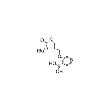 CN(CCCOc1cnccc1B(O)O)C(=O)OC(C)(C)C